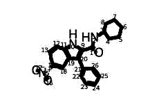 O=C(NC1CCCCC1)c1[nH]c2ccc([N+](=O)[O-])cc2c1-c1ccccc1